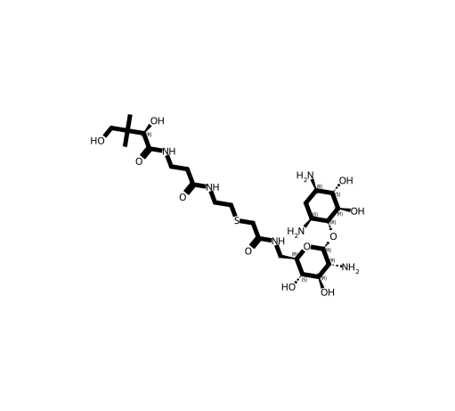 CC(C)(CO)[C@@H](O)C(=O)NCCC(=O)NCCSCC(=O)NC[C@H]1O[C@H](O[C@H]2[C@H](O)[C@@H](O)[C@H](N)C[C@@H]2N)[C@H](N)[C@@H](O)[C@@H]1O